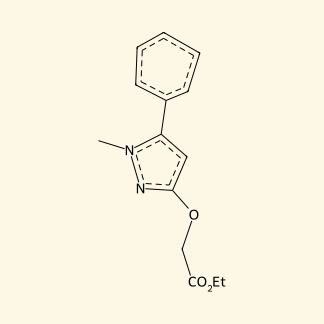 CCOC(=O)COc1cc(-c2ccccc2)n(C)n1